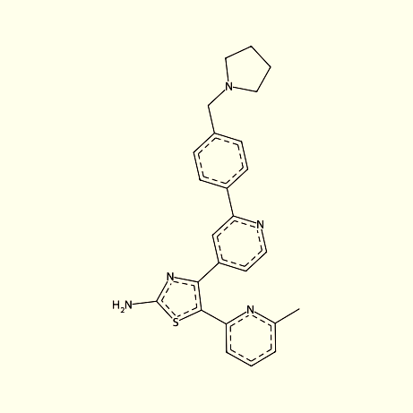 Cc1cccc(-c2sc(N)nc2-c2ccnc(-c3ccc(CN4CCCC4)cc3)c2)n1